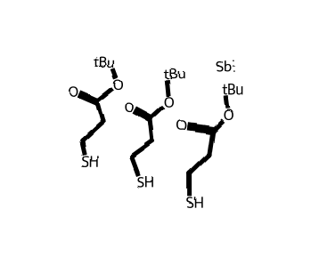 CC(C)(C)OC(=O)CCS.CC(C)(C)OC(=O)CCS.CC(C)(C)OC(=O)CCS.[Sb]